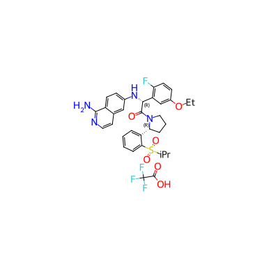 CCOc1ccc(F)c([C@@H](Nc2ccc3c(N)nccc3c2)C(=O)N2CCC[C@@H]2c2ccccc2S(=O)(=O)C(C)C)c1.O=C(O)C(F)(F)F